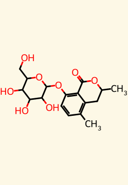 Cc1ccc(OC2OC(CO)C(O)C(O)C2O)c2c1CC(C)OC2=O